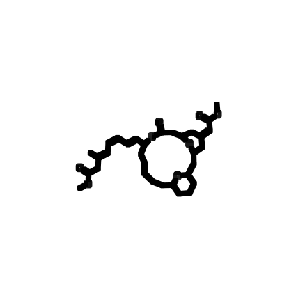 COC(=O)/C=C1\CC2CC(=O)OC(/C=C/C=C\C=C(/C)CC(=O)OC)C/C=C/CCC3CCCC(CC(C1)O2)O3